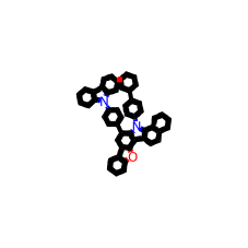 c1ccc(-c2ccc(-n3c4c(-c5ccc(-n6c7ccccc7c7ccccc76)cc5)cc5c6ccccc6oc5c4c4ccc5ccccc5c43)cc2)cc1